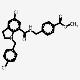 COC(=O)c1ccc(CNC(=O)c2cc(Cl)cc3c2N(Cc2ccc(Cl)cc2)CC3)cc1